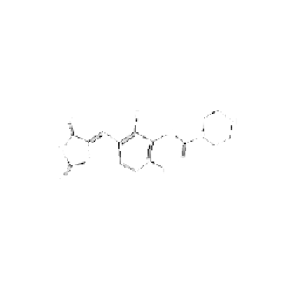 O=C1NC(=S)S/C1=C\c1ccc(F)c(OC(=O)N2CCNCC2)c1F